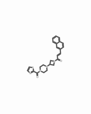 O=C(C=Cc1ccc2ccccc2c1)N1CC(N2CCN(C(=O)c3nccs3)CC2)C1